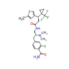 Cc1cc([C@H](CC(=O)NC[C@H](Cc2ccc(C(N)=O)c(F)c2)N(C)C)C2(C(F)(F)F)CC2)cs1